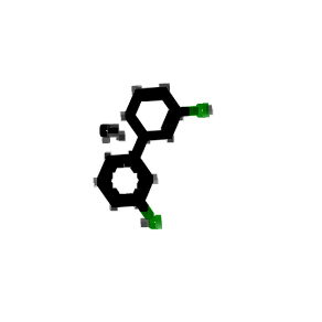 C.ClC1=CC(c2cccc(Cl)c2)CC=C1